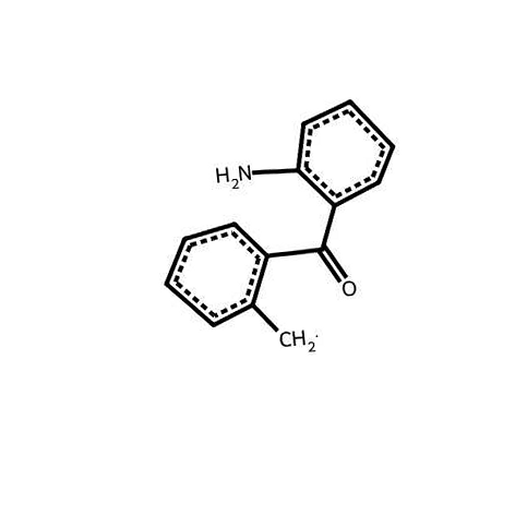 [CH2]c1ccccc1C(=O)c1ccccc1N